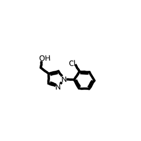 OCc1cnn(-c2ccccc2Cl)c1